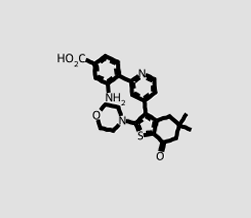 CC1(C)CC(=O)c2sc(N3CCOCC3)c(-c3ccnc(-c4ccc(C(=O)O)cc4N)c3)c2C1